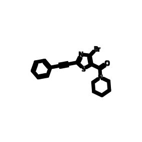 O=C(c1sc(C#Cc2ccccc2)nc1Br)N1CCCCC1